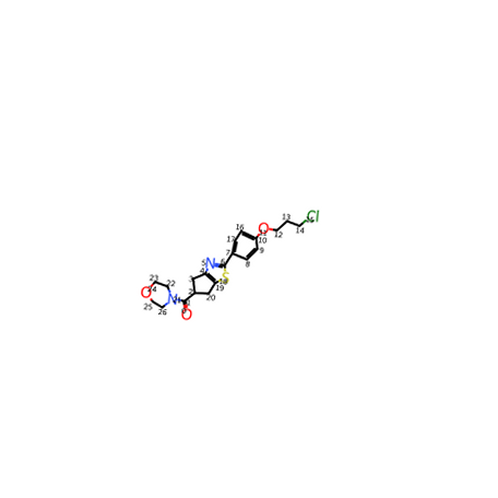 O=C(C1Cc2nc(-c3ccc(OCCCCl)cc3)sc2C1)N1CCOCC1